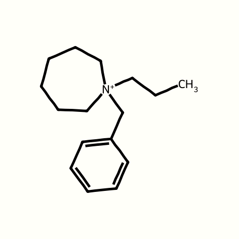 CCC[N+]1(Cc2ccccc2)CCCCCC1